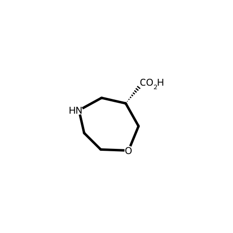 O=C(O)[C@H]1CNCCOC1